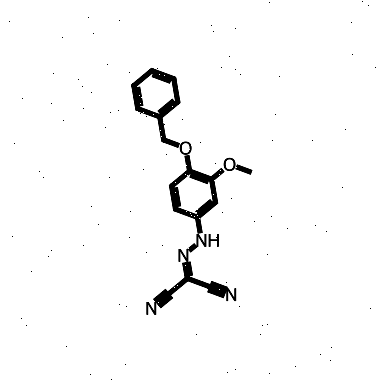 COc1cc(NN=C(C#N)C#N)ccc1OCc1ccccc1